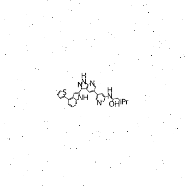 CC(C)CC(O)Nc1cncc(-c2cnc3[nH]nc(-c4cc5c(-c6cccs6)cccc5[nH]4)c3c2)c1